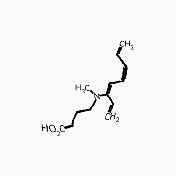 C=C/C=C\C=C(/C=C)N(C)CCCC(=O)O